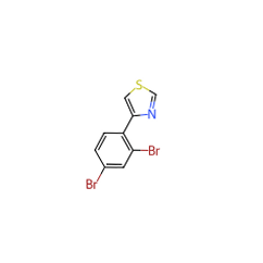 Brc1ccc(-c2cscn2)c(Br)c1